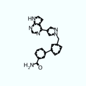 NC(=O)c1cccc(-c2cccc(Cn3cc(-c4ncnc5[nH]ccc45)cn3)c2)c1